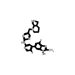 Cc1nc2c(F)cc(-c3cc(Nc4ncc(CN5CCCC6CNCC65)cn4)ncc3F)cc2n1C(C)C